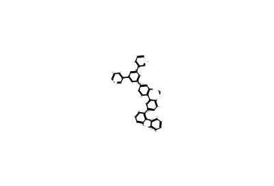 c1cncc(-c2cc(-c3cccnc3)cc(-c3ccc4c(c3)OCOc3ccc(-c5cccc6oc7ccccc7c56)cc3-4)c2)c1